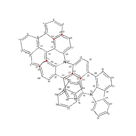 c1ccc(-c2cccc3cccc(-c4ccccc4N(c4ccc(-c5cccc6c7ccccc7n(-c7ccccc7)c56)cc4)c4ccccc4-c4cccc5ccccc45)c23)cc1